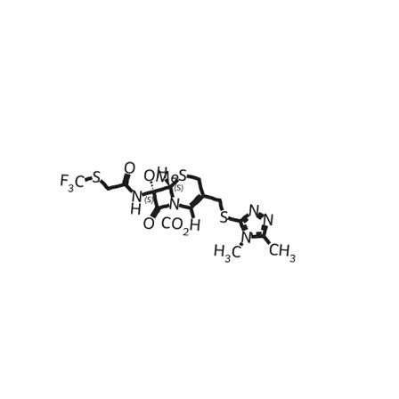 CO[C@@]1(NC(=O)CSC(F)(F)F)C(=O)N2C(C(=O)O)=C(CSc3nnc(C)n3C)CS[C@H]21